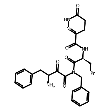 CC(C)C[C@H](NC(=O)C1=NNC(=O)CC1)C(=O)N(Cc1ccccc1)C(=O)C(=O)[C@@H](N)Cc1ccccc1